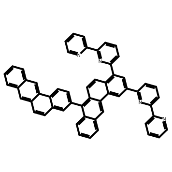 c1ccc(-c2cccc(-c3cc(-c4cccc(-c5ccccn5)n4)c4ccc5c(-c6ccc7c(ccc8cc9ccccc9cc87)c6)c6ccccc6cc5c4c3)n2)nc1